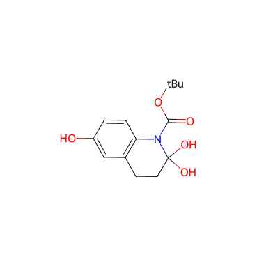 CC(C)(C)OC(=O)N1c2ccc(O)cc2CCC1(O)O